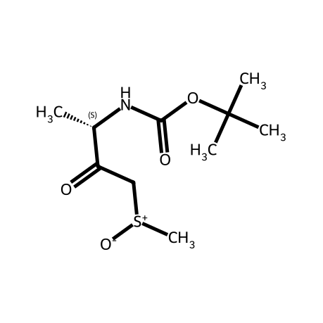 C[C@H](NC(=O)OC(C)(C)C)C(=O)C[S+](C)[O-]